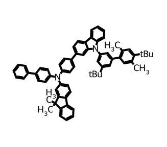 Cc1cc(C(C)(C)C)c(C)cc1-c1cc(-n2c3ccccc3c3ccc(-c4ccc(N(c5ccc(-c6ccccc6)cc5)c5ccc6c(c5)C(C)(C)c5ccccc5-6)cc4)cc32)cc(C(C)(C)C)c1